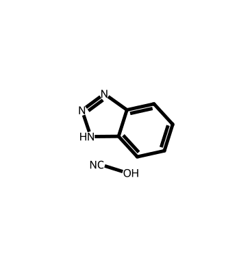 N#CO.c1ccc2[nH]nnc2c1